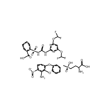 CP(=O)(O)CCC(N)C(=O)O.Nc1c([N+](=O)[O-])ccc(Oc2ccccc2)c1Cl.O=C(Nc1nc(OC(F)F)cc(OC(F)F)n1)NS(=O)(=O)c1ccccc1C(=O)O